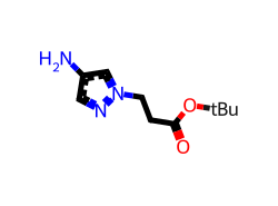 CC(C)(C)OC(=O)CCn1cc(N)cn1